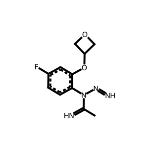 CC(=N)N(N=N)c1ccc(F)cc1OC1COC1